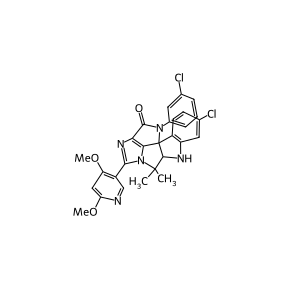 COc1cc(OC)c(-c2nc3c4n2C(C)(C)C2Nc5cc(Cl)ccc5C42N(c2cccc(Cl)c2)C3=O)cn1